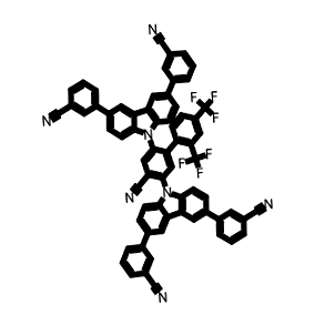 N#Cc1cccc(-c2ccc3c(c2)c2cc(-c4cccc(C#N)c4)ccc2n3-c2cc(-c3ccc(C(F)(F)F)cc3C(F)(F)F)c(-n3c4ccc(-c5cccc(C#N)c5)cc4c4cc(-c5cccc(C#N)c5)ccc43)cc2C#N)c1